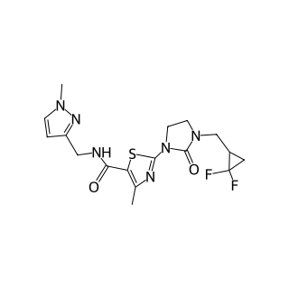 Cc1nc(N2CCN(CC3CC3(F)F)C2=O)sc1C(=O)NCc1ccn(C)n1